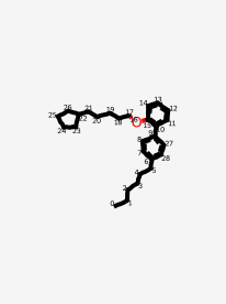 CCCCCCc1ccc(-c2cc[c]cc2OCCCCCC2CCCC2)cc1